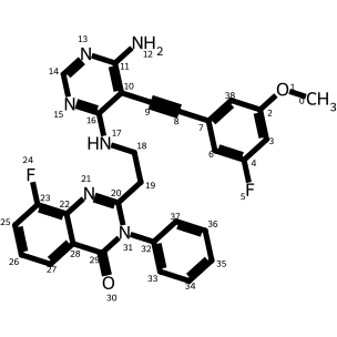 COc1cc(F)cc(C#Cc2c(N)ncnc2NCCc2nc3c(F)cccc3c(=O)n2-c2ccccc2)c1